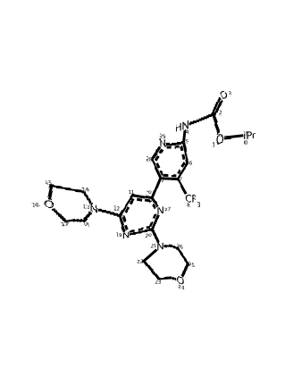 CC(C)OC(=O)Nc1cc(C(F)(F)F)c(-c2cc(N3CCOCC3)nc(N3CCOCC3)n2)cn1